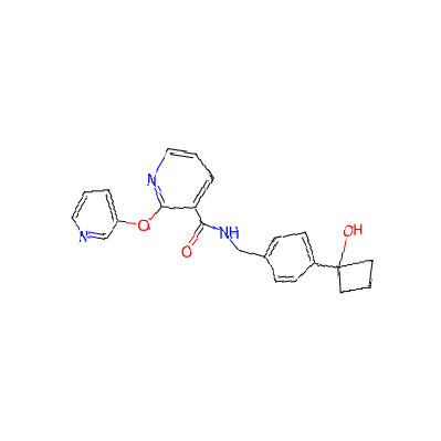 O=C(NCc1ccc(C2(O)CCC2)cc1)c1cccnc1Oc1cccnc1